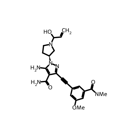 C=CC(O)N1CC[C@H](n2nc(C#Cc3cc(OC)cc(C(=O)NC)c3)c(C(N)=O)c2N)C1